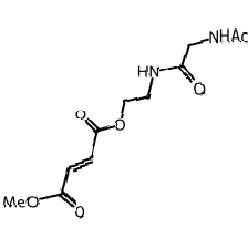 COC(=O)/C=C/C(=O)OCCNC(=O)CNC(C)=O